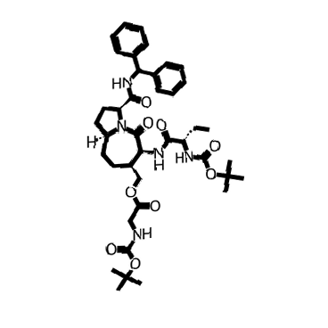 CC[C@H](NC(=O)OC(C)(C)C)C(=O)N[C@@H]1C(=O)N2[C@@H](CC[C@@H]1COC(=O)CNC(=O)OC(C)(C)C)CC[C@H]2C(=O)NC(c1ccccc1)c1ccccc1